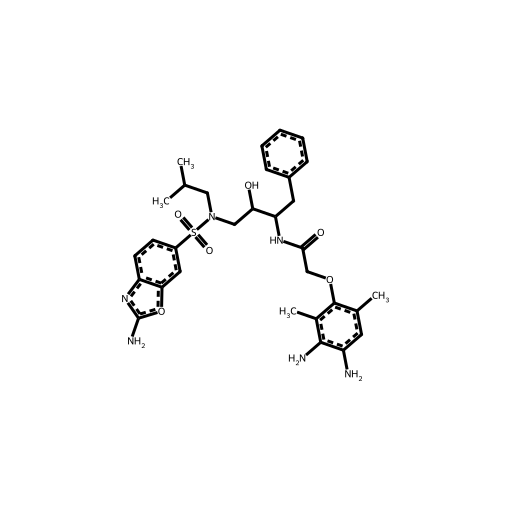 Cc1cc(N)c(N)c(C)c1OCC(=O)NC(Cc1ccccc1)C(O)CN(CC(C)C)S(=O)(=O)c1ccc2nc(N)oc2c1